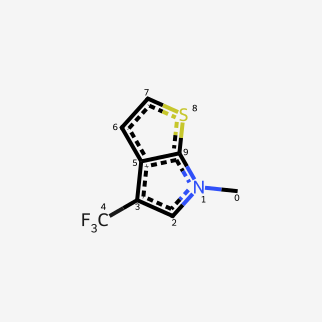 Cn1cc(C(F)(F)F)c2ccsc21